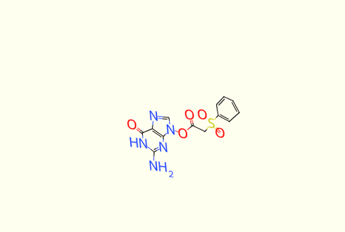 Nc1nc2c(ncn2OC(=O)CS(=O)(=O)c2ccccc2)c(=O)[nH]1